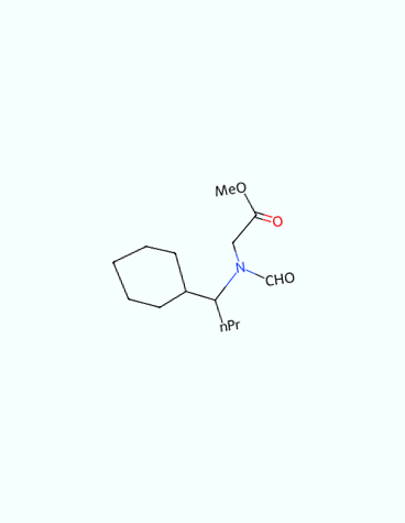 CCCC(C1CCCCC1)N(C=O)CC(=O)OC